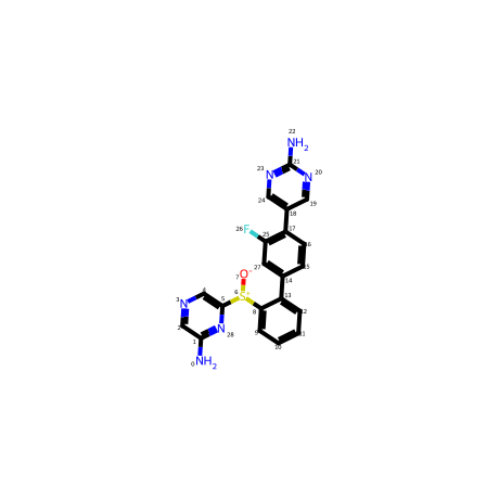 Nc1cncc([S+]([O-])c2ccccc2-c2ccc(-c3cnc(N)nc3)c(F)c2)n1